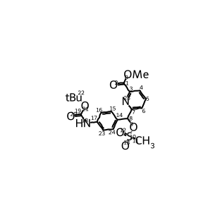 COC(=O)c1cccc(C(OS(C)(=O)=O)c2ccc(NC(=O)OC(C)(C)C)cc2)n1